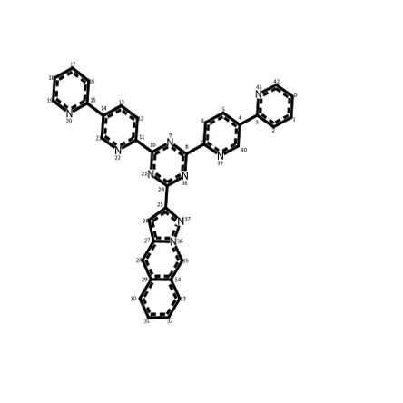 c1ccc(-c2ccc(-c3nc(-c4ccc(-c5ccccn5)cn4)nc(-c4cc5cc6ccccc6cn5n4)n3)nc2)nc1